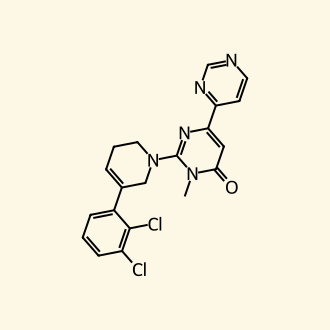 Cn1c(N2CCC=C(c3cccc(Cl)c3Cl)C2)nc(-c2ccncn2)cc1=O